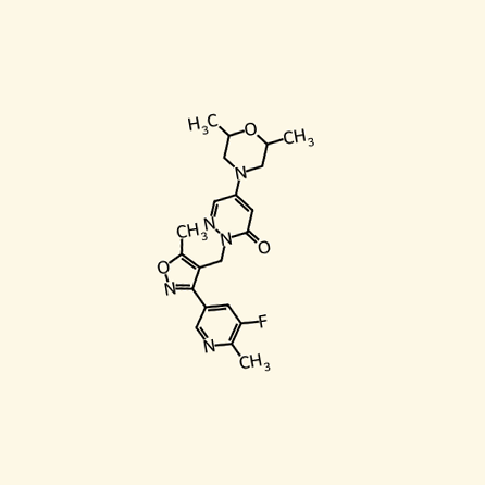 Cc1ncc(-c2noc(C)c2Cn2ncc(N3CC(C)OC(C)C3)cc2=O)cc1F